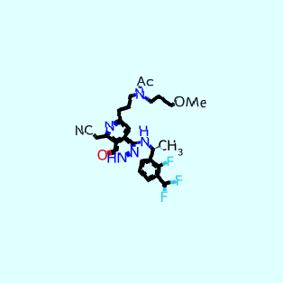 COCCCN(CCCc1cc2c(N[C@H](C)c3cccc(C(F)F)c3F)n[nH]c(=O)c2c(CC#N)n1)C(C)=O